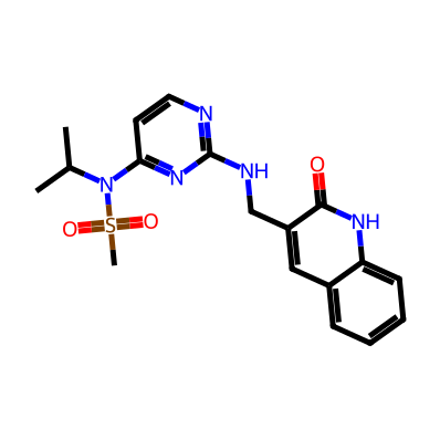 CC(C)N(c1ccnc(NCc2cc3ccccc3[nH]c2=O)n1)S(C)(=O)=O